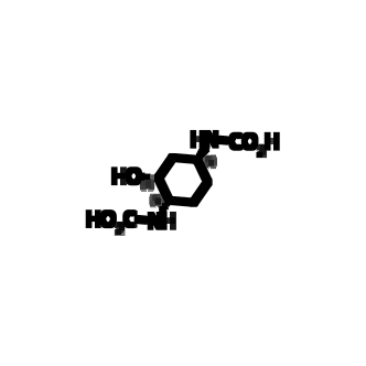 O=C(O)N[C@H]1CC[C@H](NC(=O)O)[C@H](O)C1